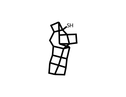 SC12C3CC1C1C4C5C6C7CC8CC9C%10C(C3)C5(C43CCC123)C%106C897